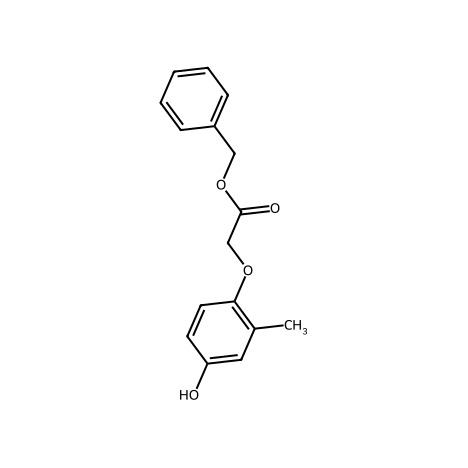 Cc1cc(O)ccc1OCC(=O)OCc1ccccc1